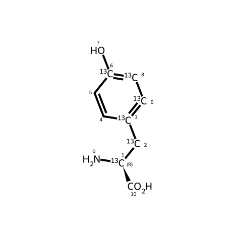 N[13C@@H]([13CH2][13c]1cc[13c](O)[13cH][13cH]1)C(=O)O